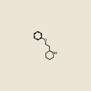 c1ccc(OCCC2CCCCN2)cc1